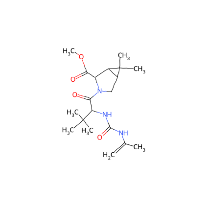 C=C(C)NC(=O)NC(C(=O)N1CC2C(C1C(=O)OC)C2(C)C)C(C)(C)C